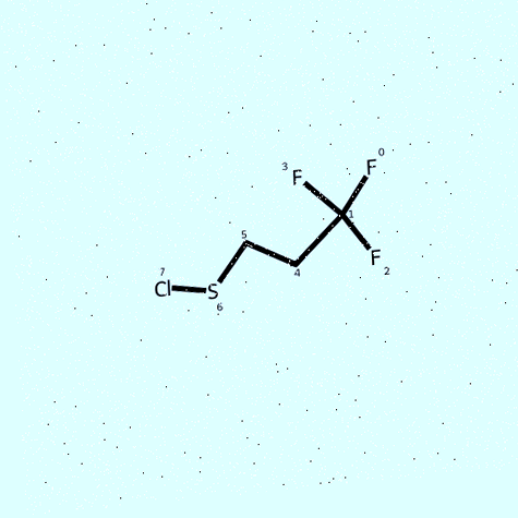 FC(F)(F)CCSCl